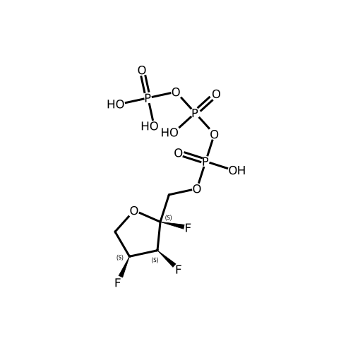 O=P(O)(O)OP(=O)(O)OP(=O)(O)OC[C@@]1(F)OC[C@H](F)[C@@H]1F